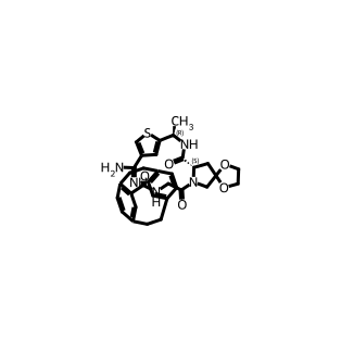 C[C@@H](NC(=O)[C@@H]1CC2(CN1C(=O)CNC(=O)c1cc3ccc1CCc1ccc(cc1)CC3)OCCO2)c1cc(C(=N)N)cs1